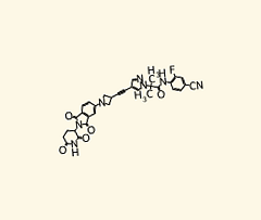 CC(C)(C(=O)Nc1ccc(C#N)cc1F)n1cc(C#CC2CN(c3ccc4c(c3)C(=O)N(C3CCC(=O)NC3=O)C4=O)C2)cn1